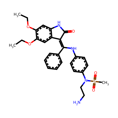 CCOc1cc2c(cc1OCC)/C(=C(/Nc1ccc(N(CCN)S(C)(=O)=O)cc1)c1ccccc1)C(=O)N2